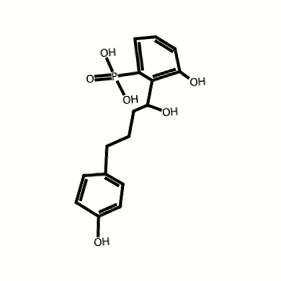 O=P(O)(O)c1cccc(O)c1C(O)CCCc1ccc(O)cc1